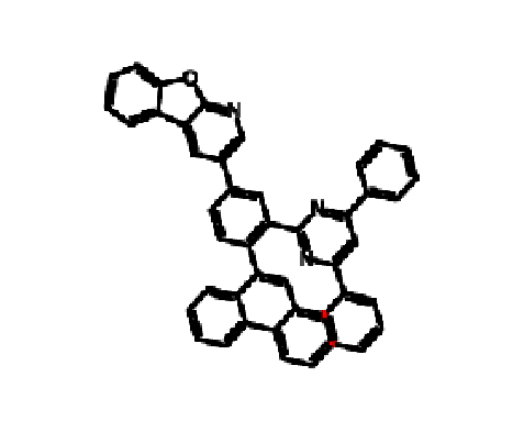 c1ccc(-c2cc(-c3ccccc3)nc(-c3cc(-c4cnc5oc6ccccc6c5c4)ccc3-c3cc4ccccc4c4ccccc34)n2)cc1